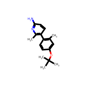 Cc1cc(OC(C)(C)C)ccc1-c1ccc(N)nc1C